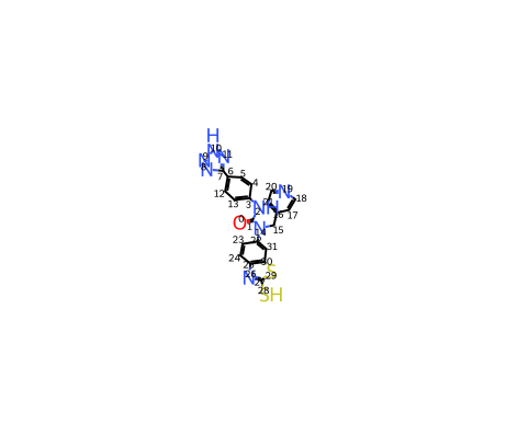 O=C(Nc1ccc(-c2nn[nH]n2)cc1)N(Cc1ccncc1)c1ccc2nc(S)sc2c1